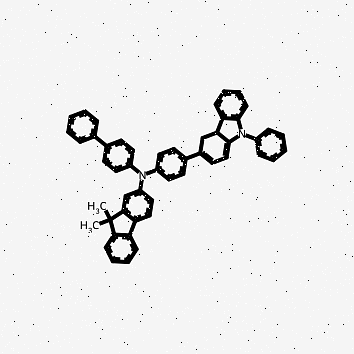 CC1(C)c2ccccc2-c2ccc(N(c3ccc(C4=CC=C5C(C4)c4ccccc4N5c4ccccc4)cc3)c3ccc(-c4ccccc4)cc3)cc21